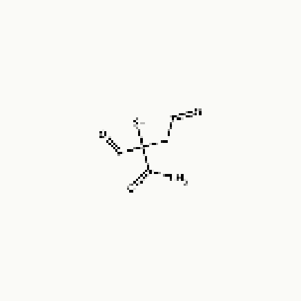 CC(=O)C(S)([C]=O)C[C]=O